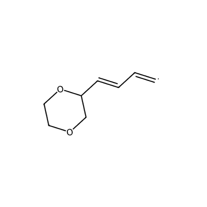 [CH]=CC=CC1COCCO1